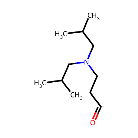 CC(C)CN(CC[C]=O)CC(C)C